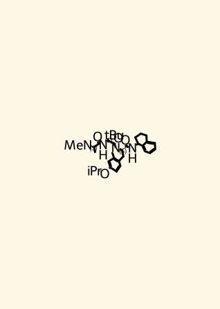 CN[C@@H](C)C(=O)N[C@H](C(=O)N1Cc2cc(OC(C)C)ccc2C[C@H]1C(=O)NC1CCCc2ccccc21)C(C)(C)C